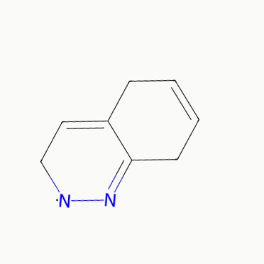 C1=CCC2=N[N]CC=C2C1